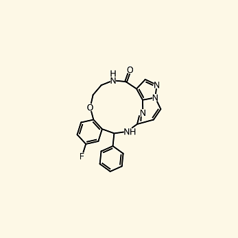 O=C1NCCOc2ccc(F)cc2C(c2ccccc2)Nc2ccn3ncc1c3n2